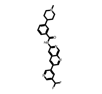 CN1CCC(c2cccc(C(=O)Nc3cc4cc(-c5cncc(C(F)F)c5)cnc4cn3)c2)CC1